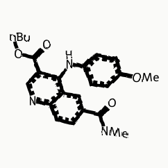 CCCCOC(=O)c1cnc2ccc(C(=O)NC)cc2c1Nc1ccc(OC)cc1